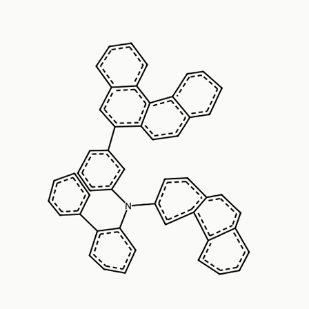 c1ccc(-c2ccccc2N(c2cccc(-c3cc4ccccc4c4c3ccc3ccccc34)c2)c2ccc3ccc4ccccc4c3c2)cc1